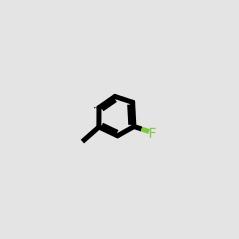 Cc1[c]ccc(F)c1